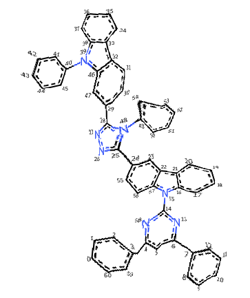 c1ccc(-c2cc(-c3ccccc3)nc(-n3c4ccccc4c4cc(-c5nnc(-c6ccc7c8ccccc8n(-c8ccccc8)c7c6)n5-c5ccccc5)ccc43)n2)cc1